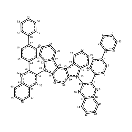 c1ccc(-c2ccc(-c3nc4ccccc4nc3-n3c4ccccc4c4c5c6ccccc6n(-c6nc7ccccc7nc6-c6ccc(-c7ccccc7)cc6)c5ccc43)cc2)cc1